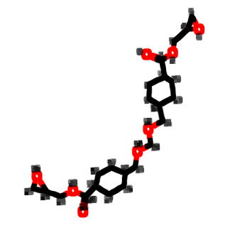 O=C(OCC1CO1)C1CCC(COCOCC2CCC(C(=O)OCC3CO3)CC2)CC1